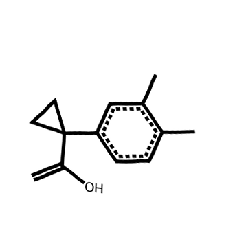 C=C(O)C1(c2ccc(C)c(C)c2)CC1